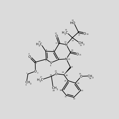 CCOC(=O)c1sc2c(c1C)c(=O)n(C(C)(C)C(=O)O)c(=O)n2C[C@H](OC(C)C)c1ccccc1OC